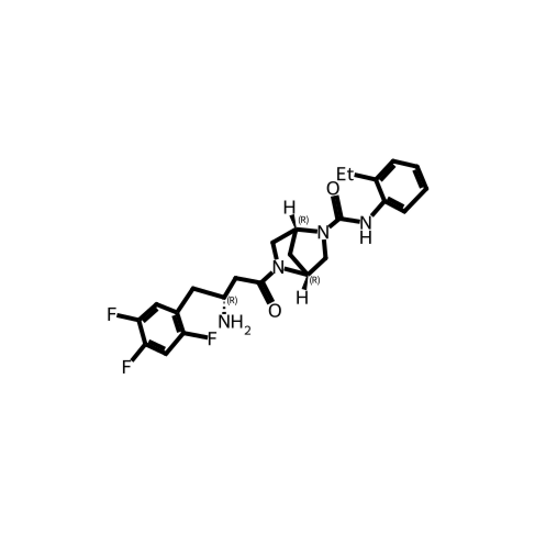 CCc1ccccc1NC(=O)N1C[C@H]2C[C@@H]1CN2C(=O)C[C@H](N)Cc1cc(F)c(F)cc1F